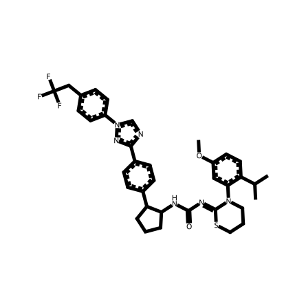 COc1ccc(C(C)C)c(N2CCCS/C2=N\C(=O)NC2CCCC2c2ccc(-c3ncn(-c4ccc(CC(F)(F)F)cc4)n3)cc2)c1